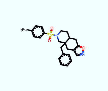 CC(C)(C)c1ccc(S(=O)(=O)N2CCC3Cc4oncc4CC3(Cc3ccccc3)C2)cc1